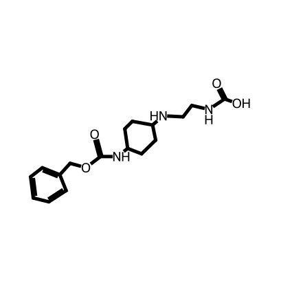 O=C(O)NCCNC1CCC(NC(=O)OCc2ccccc2)CC1